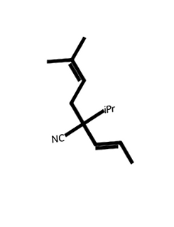 CC=CC(C#N)(CC=C(C)C)C(C)C